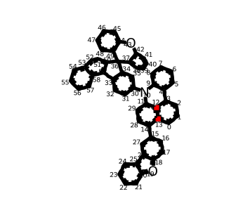 c1ccc(-c2ccccc2N(c2ccc(-c3ccc4oc5ccccc5c4c3)cc2)c2ccc3c(c2)C2(c4ccccc4Oc4ccccc42)c2ccc4ccccc4c2-3)cc1